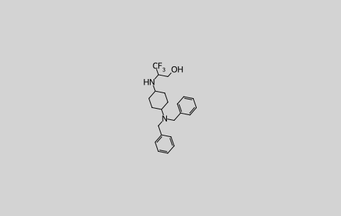 OCC(NC1CCC(N(Cc2ccccc2)Cc2ccccc2)CC1)C(F)(F)F